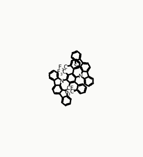 FC(F)(F)c1ccccc1-c1c(-n2c3ccccc3c3ccc4c5ccccc5sc4c32)c(-c2ccccc2C(F)(F)F)c(C(F)(F)F)c(-n2c3ccccc3c3ccc4c5ccccc5sc4c32)c1C(F)(F)F